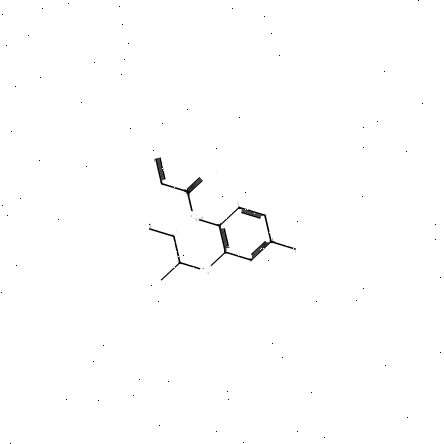 C=CC(=O)Nc1ccc(C)cc1NC(C)CC